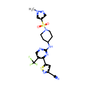 Cn1cc(S(=O)(=O)N2CCC(Nc3ncc(C(F)(F)F)c(-c4cc(C#N)ns4)n3)CC2)cn1